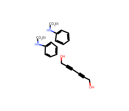 CCOC(=O)Nc1ccccc1.CCOC(=O)Nc1ccccc1.OCC#CC#CCO